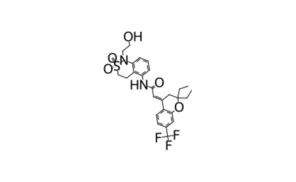 CCC1(CC)CC(=CC(=O)Nc2cccc3c2CCS(=O)(=O)N3CCO)c2ccc(C(F)(F)F)cc2O1